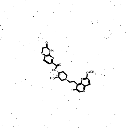 COc1ccc2ncc(F)c(CCN3CC[C@@H](NC(=O)c4ccc5c(n4)NC(=O)CO5)[C@H](O)C3)c2n1